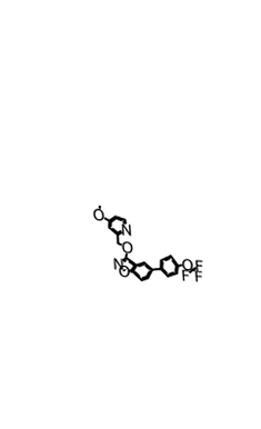 COc1ccnc(COc2noc3ccc(-c4ccc(OC(F)(F)F)cc4)cc23)c1